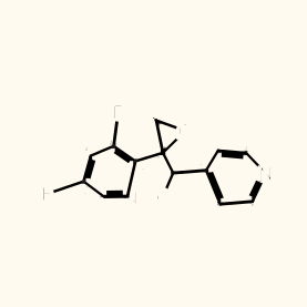 CC(c1ccncc1)C1(c2ccc(F)cc2F)CO1